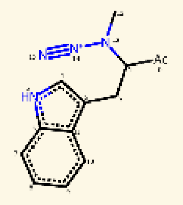 CC(=O)C(Cc1c[nH]c2ccccc12)N(C)[N+]#N